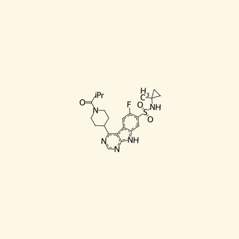 CC(C)C(=O)N1CCC(c2ncnc3[nH]c4cc(S(=O)(=O)NC5(C)CC5)c(F)cc4c23)CC1